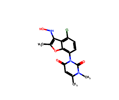 Cc1oc2c(-n3c(=O)cc(C(F)(F)F)n(C)c3=O)ccc(Cl)c2c1NO